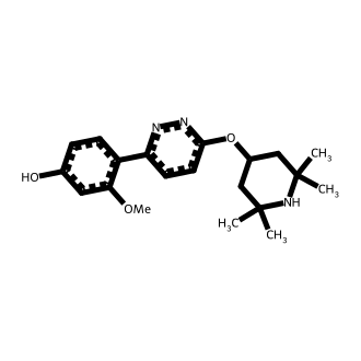 COc1cc(O)ccc1-c1ccc(OC2CC(C)(C)NC(C)(C)C2)nn1